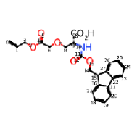 C=CCOC(=O)COC[C@@H](NC(=O)OCC1c2ccccc2-c2ccccc21)C(=O)O